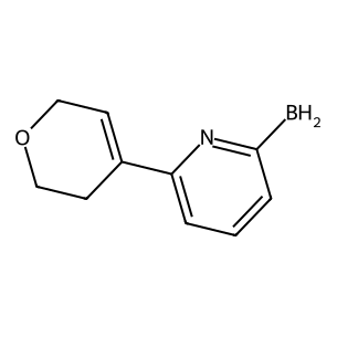 Bc1cccc(C2=CCOCC2)n1